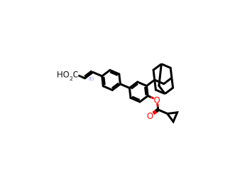 O=C(O)/C=C/c1ccc(-c2ccc(OC(=O)C3CC3)c(C34CC5CC(CC(C5)C3)C4)c2)cc1